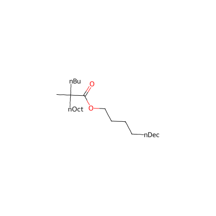 CCCCCCCCCCCCCCOC(=O)C(C)(CCCC)CCCCCCCC